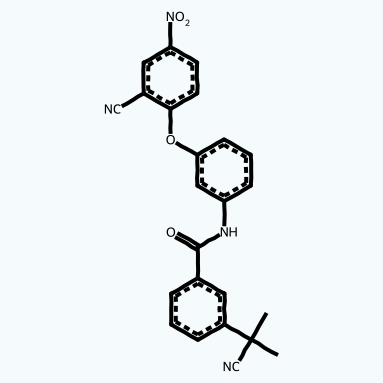 CC(C)(C#N)c1cccc(C(=O)Nc2cccc(Oc3ccc([N+](=O)[O-])cc3C#N)c2)c1